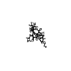 CCOc1ccc2oc(N[C@@H]3C(=O)N4C[C@H]5[C@@H]([C@H]4C(=O)N(C(CC4CCC4)C(=O)C(N)=O)C3(C)C)C5(C)C)nc2c1